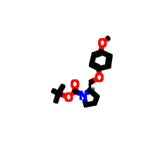 COc1ccc(OC[C@@H]2CCCN2C(=O)OC(C)(C)C)cc1